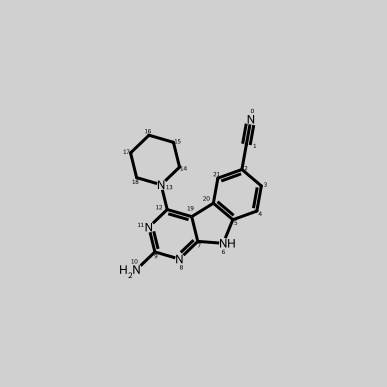 N#Cc1ccc2[nH]c3nc(N)nc(N4CCCCC4)c3c2c1